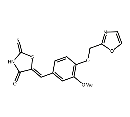 COc1cc(/C=C2\SC(=S)NC2=O)ccc1OCc1ncco1